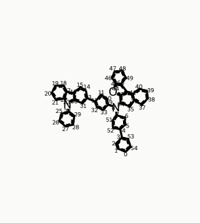 c1ccc(-c2ccc(N(c3ccc(-c4ccc5c6ccccc6n(-c6ccccc6)c5c4)cc3)c3cc4ccccc4c4c3oc3ccccc34)cc2)cc1